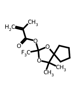 C=C(C)C(=O)OC1(C(F)(F)F)OC(C)(C)C2(CCCC2)O1